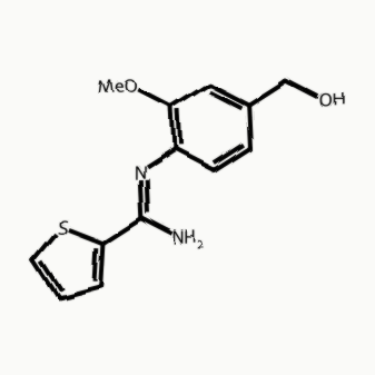 COc1cc(CO)ccc1N=C(N)c1cccs1